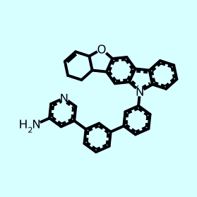 Nc1cncc(-c2cccc(-c3cccc(-n4c5ccccc5c5cc6c(cc54)C4CCC=CC4O6)c3)c2)c1